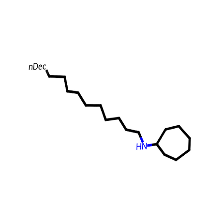 CCCCCCCCCCCCCCCCCCCCNC1CCCCCC1